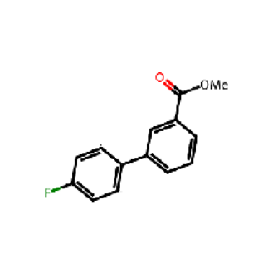 COC(=O)c1cccc(-c2[c]cc(F)c[c]2)c1